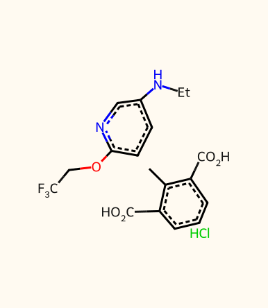 CCNc1ccc(OCC(F)(F)F)nc1.Cc1c(C(=O)O)cccc1C(=O)O.Cl